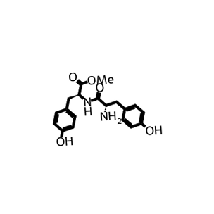 COC(=O)[C@H](Cc1ccc(O)cc1)NC(=O)[C@@H](N)Cc1ccc(O)cc1